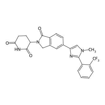 Cn1cc(-c2ccc3c(c2)CN(C2CCC(=O)NC2=O)C3=O)nc1-c1ccccc1C(F)(F)F